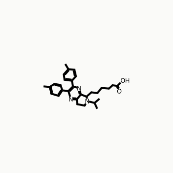 Cc1ccc(-c2nc3c(nc2-c2ccc(C)cc2)C(CCCCCC(=O)O)N(C(C)C)CC3)cc1